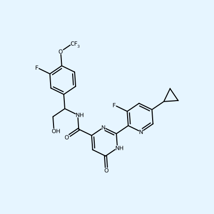 O=C(NC(CO)c1ccc(OC(F)(F)F)c(F)c1)c1cc(=O)[nH]c(-c2ncc(C3CC3)cc2F)n1